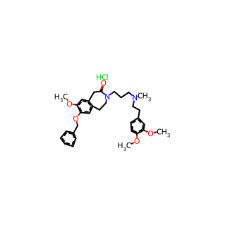 COc1ccc(CCN(C)CCCN2CCc3cc(OCc4ccccc4)c(OC)cc3CC2=O)cc1OC.Cl